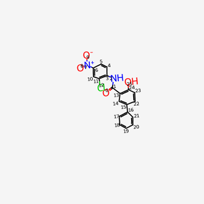 O=C(Nc1ccc([N+](=O)[O-])cc1Cl)c1cc(-c2ccccc2)ccc1O